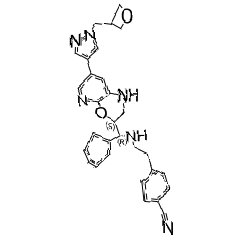 N#Cc1ccc(CCN[C@H](c2ccccc2)[C@@H]2CNc3cc(-c4cnn(CC5COC5)c4)cnc3O2)cc1